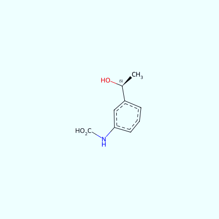 C[C@H](O)c1cccc(NC(=O)O)c1